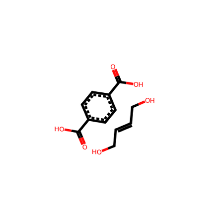 O=C(O)c1ccc(C(=O)O)cc1.OCC=CCO